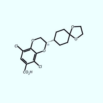 O=C(O)c1cc(Cl)c2c(c1Cl)O[C@@H](C1CCC3(CC1)OCCO3)CO2